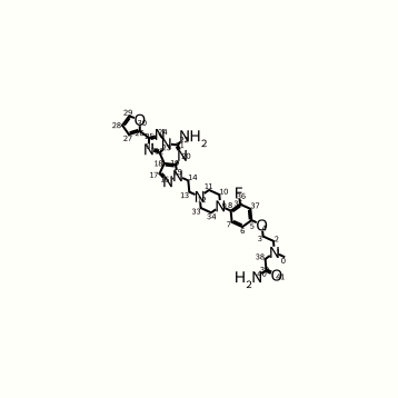 CN(CCOc1ccc(N2CCN(CCn3ncc4c3nc(N)n3nc(-c5ccco5)nc43)CC2)c(F)c1)CC(N)=O